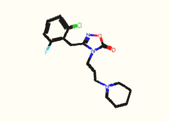 O=c1onc(Cc2c(F)cccc2Cl)n1CCCN1CCCCC1